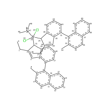 CCC1=Cc2c(-c3c(C)ccc4ccccc34)cccc2[CH]1[Zr]([Cl])([Cl])([CH]1C(CC)=Cc2c(-c3c(C)ccc4ccccc34)cccc21)[SiH](C)C